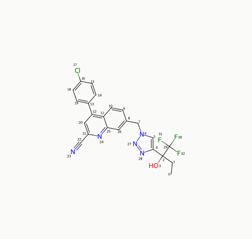 CCC(O)(c1cn(Cc2ccc3c(-c4ccc(Cl)cc4)cc(C#N)nc3c2)nn1)C(F)(F)F